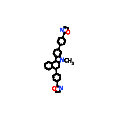 Cn1c2cc(-c3ccc(-c4ncco4)cc3)ccc2c2c3ccccc3c(-c3ccc(-c4ncco4)cc3)cc21